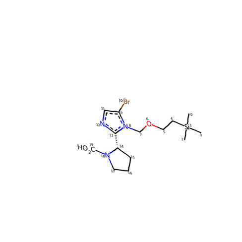 C[Si](C)(C)CCOCn1c(Br)cnc1[C@@H]1CCCN1C(=O)O